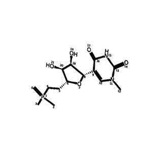 C=P(C)(C)CC[C@H]1O[C@@H](c2cn(C)c(=O)[nH]c2=O)[C@H](O)[C@@H]1O